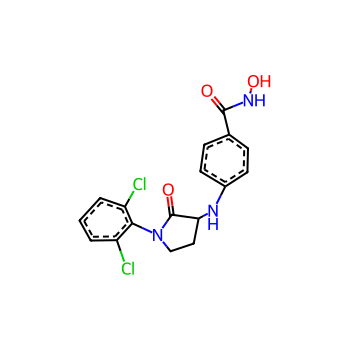 O=C(NO)c1ccc(NC2CCN(c3c(Cl)cccc3Cl)C2=O)cc1